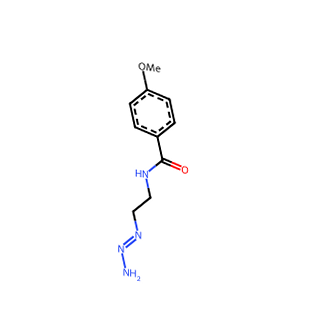 COc1ccc(C(=O)NCCN=NN)cc1